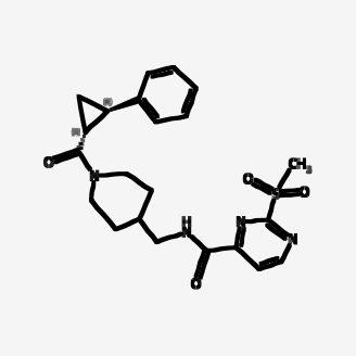 CS(=O)(=O)c1nccc(C(=O)NCC2CCN(C(=O)[C@@H]3C[C@H]3c3ccccc3)CC2)n1